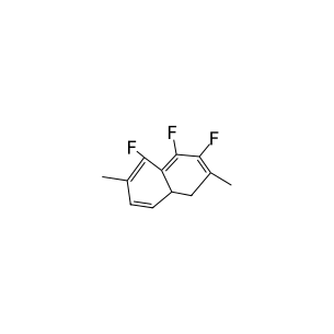 CC1=C(F)C2=C(F)C(F)=C(C)CC2C=C1